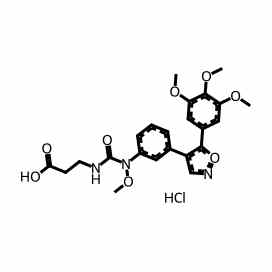 COc1cc(-c2oncc2-c2cccc(N(OC)C(=O)NCCC(=O)O)c2)cc(OC)c1OC.Cl